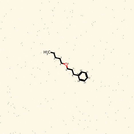 CCCCCOCCCc1ccccc1